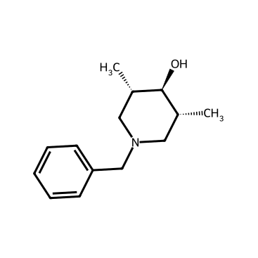 C[C@@H]1CN(Cc2ccccc2)C[C@H](C)[C@H]1O